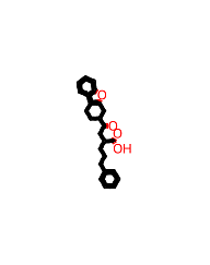 O=C(O)C(CCCc1ccccc1)CC(=O)C1CCc2c(oc3ccccc23)C1